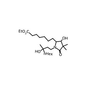 CCCCCCC(C)(O)CCN1C(=O)C(C)(C)C(O)C1CCCCCCC(=O)OCC